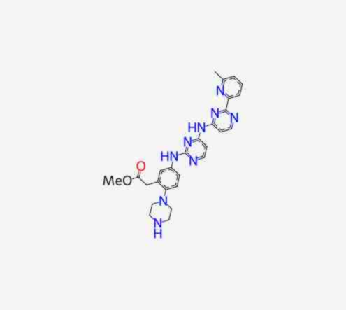 COC(=O)Cc1cc(Nc2nccc(Nc3ccnc(-c4cccc(C)n4)n3)n2)ccc1N1CCNCC1